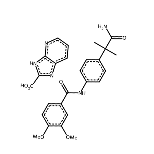 COc1ccc(C(=O)Nc2ccc(C(C)(C)C(N)=O)cc2)cc1OC.O=C(O)c1nc2cccnc2[nH]1